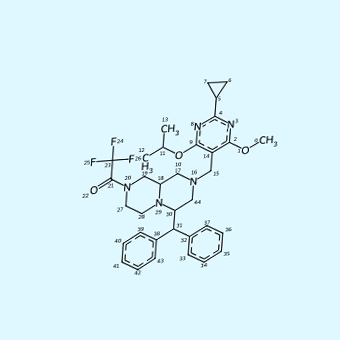 COc1nc(C2CC2)nc(OC(C)C)c1CN1CC2CN(C(=O)C(F)(F)F)CCN2C(C(c2ccccc2)c2ccccc2)C1